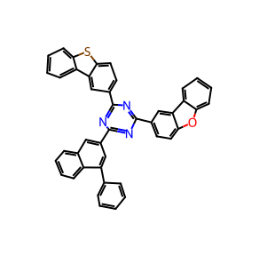 c1ccc(-c2cc(-c3nc(-c4ccc5oc6ccccc6c5c4)nc(-c4ccc5sc6ccccc6c5c4)n3)cc3ccccc23)cc1